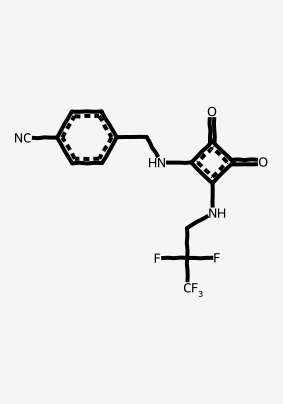 N#Cc1ccc(CNc2c(NCC(F)(F)C(F)(F)F)c(=O)c2=O)cc1